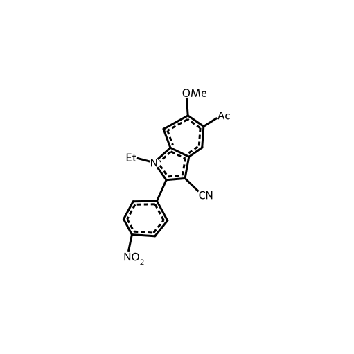 CCn1c(-c2ccc([N+](=O)[O-])cc2)c(C#N)c2cc(C(C)=O)c(OC)cc21